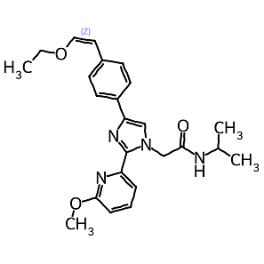 CCO/C=C\c1ccc(-c2cn(CC(=O)NC(C)C)c(-c3cccc(OC)n3)n2)cc1